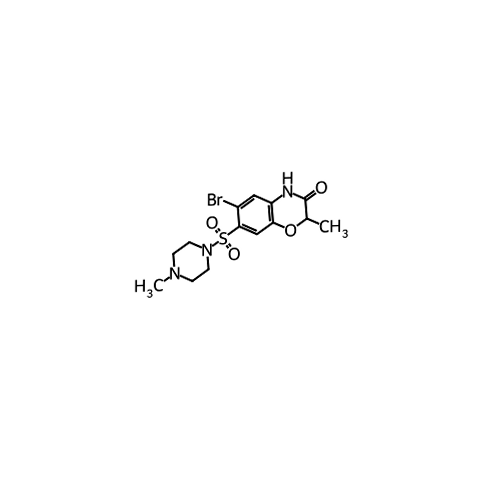 CC1Oc2cc(S(=O)(=O)N3CCN(C)CC3)c(Br)cc2NC1=O